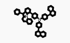 c1ccc(-c2c3cccc(-c4ccc(N(c5ccc(-c6cccc7ccccc67)cc5)c5ccc(-c6cccc7ccccc67)cc5)cc4)c3n3c2ccc2ccccc23)cc1